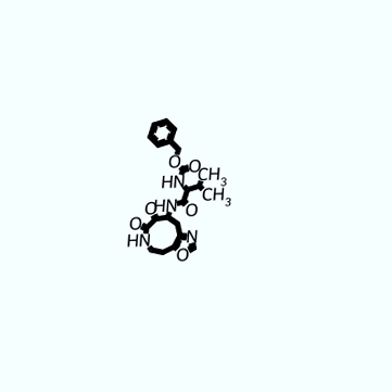 CC(C)C(NC(=O)OCc1ccccc1)C(=O)NC1Cc2ncoc2CCNC(=O)C1=O